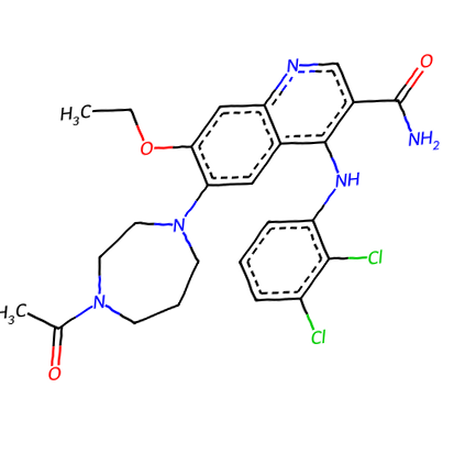 CCOc1cc2ncc(C(N)=O)c(Nc3cccc(Cl)c3Cl)c2cc1N1CCCN(C(C)=O)CC1